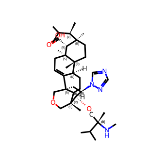 CN[C@@](C)(CO[C@H]1[C@H](n2cncn2)C[C@@]23COC[C@]1(C)[C@@H]2CC[C@H]1C3=CC[C@@]2(C)[C@H](C(=O)O)[C@@](C)([C@H](C)C(C)C)CC[C@]12C)C(C)C